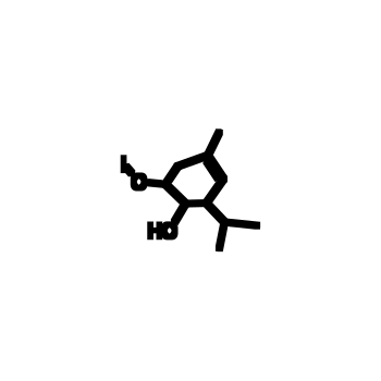 CC1=CC(C(C)C)C(O)C(OI)C1